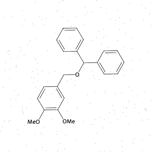 COc1ccc(COC(c2ccccc2)c2ccccc2)cc1OC